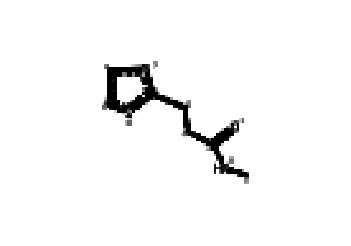 CNC(=O)CCc1nccs1